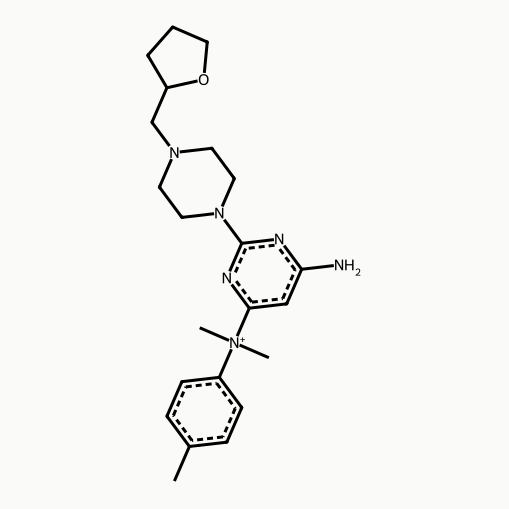 Cc1ccc([N+](C)(C)c2cc(N)nc(N3CCN(CC4CCCO4)CC3)n2)cc1